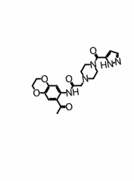 CC(=O)c1cc2c(cc1NC(=O)CN1CCN(C(=O)c3ccn[nH]3)CC1)OCCO2